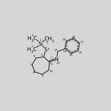 C[Si](C)(C)SC1CCCCC/C1=N/Cc1ccccc1